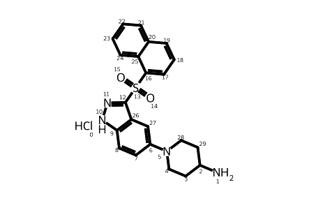 Cl.NC1CCN(c2ccc3[nH]nc(S(=O)(=O)c4cccc5ccccc45)c3c2)CC1